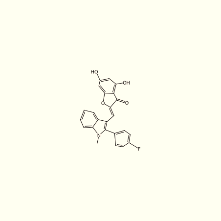 Cn1c(-c2ccc(F)cc2)c(C=C2Oc3cc(O)cc(O)c3C2=O)c2ccccc21